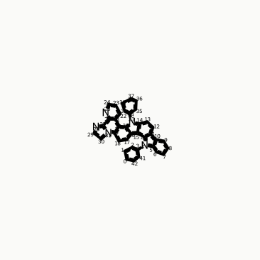 c1ccc(-n2c3ccccc3c3ccc4c(c5ccc6c(c7cccnc7c7nccn67)c5n4-c4ccccc4)c32)cc1